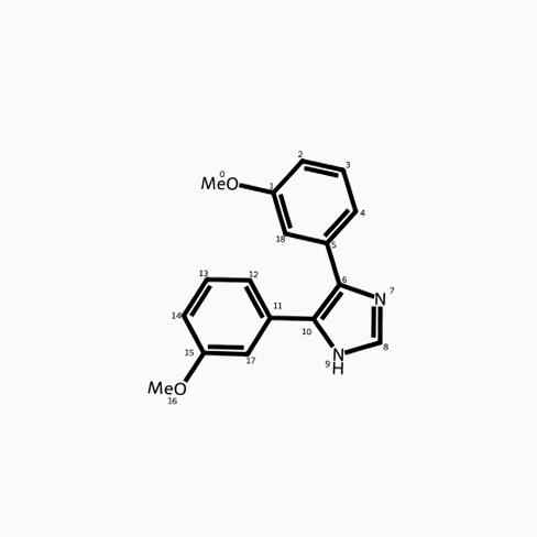 COc1cccc(-c2nc[nH]c2-c2cccc(OC)c2)c1